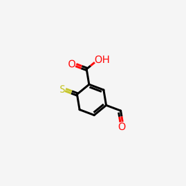 O=CC1=CCC(=S)C(C(=O)O)=C1